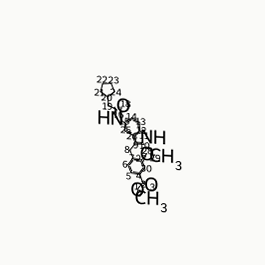 COC(=O)c1ccc(Cc2c[nH]c3ccc(NC(=O)CC4CCCC4)cc23)c(OC)c1